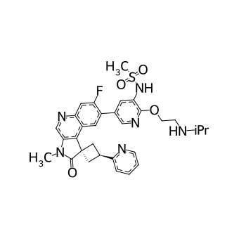 CC(C)NCCOc1ncc(-c2cc3c(cc2F)ncc2c3[C@]3(C[C@H](c4ccccn4)C3)C(=O)N2C)cc1NS(C)(=O)=O